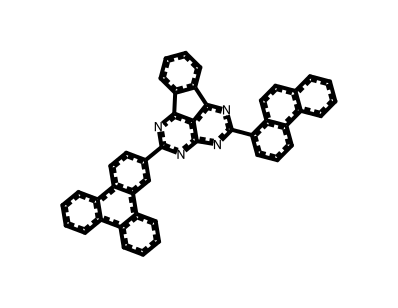 c1ccc2c(c1)-c1nc(-c3ccc4c5ccccc5c5ccccc5c4c3)nc3nc(-c4cccc5c4ccc4ccccc45)nc-2c13